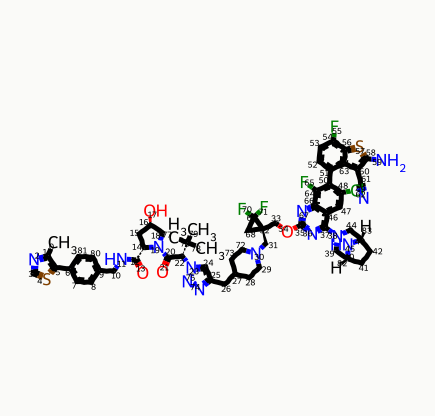 Cc1ncsc1-c1ccc(CNC(=O)[C@@H]2C[C@@H](O)CN2C(=O)[C@@H](n2cc(CC3CCN(C[C@@]4(COc5nc(N6C[C@H]7CC[C@@H](C6)N7)c6cc(Cl)c(-c7ccc(F)c8sc(N)c(C#N)c78)c(F)c6n5)CC4(F)F)CC3)nn2)C(C)(C)C)cc1